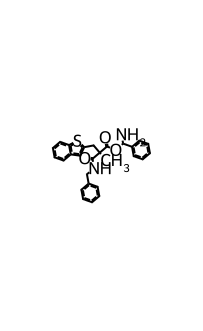 CC(Cc1cc2ccccc2s1)(C(=O)NCc1ccccc1)C(=O)OC(N)c1ccccc1